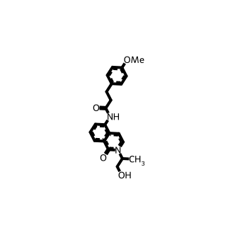 COc1ccc(CCC(=O)Nc2cccc3c(=O)n(C(C)CO)ccc23)cc1